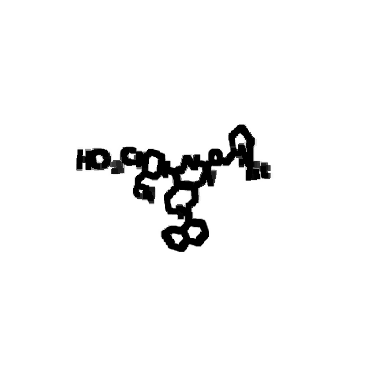 CCN1CCCC1COc1nc2c(c(N3CCN(C(=O)O)C(CC#N)C3)n1)CCN(c1cccc3ccccc13)C2